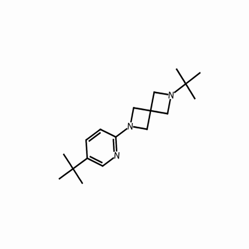 CC(C)(C)c1ccc(N2CC3(C2)CN(C(C)(C)C)C3)nc1